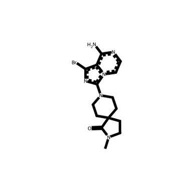 CN1CCC2(CCN(c3nc(Br)c4c(N)nccn34)CC2)C1=O